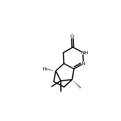 CC1(C)[C@H]2CC[C@]1(C)C1=NNC(=O)CC12